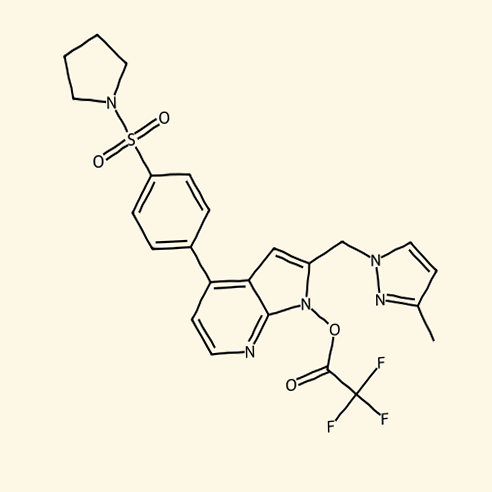 Cc1ccn(Cc2cc3c(-c4ccc(S(=O)(=O)N5CCCC5)cc4)ccnc3n2OC(=O)C(F)(F)F)n1